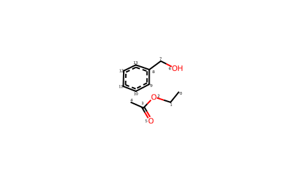 CCOC(C)=O.OCc1ccccc1